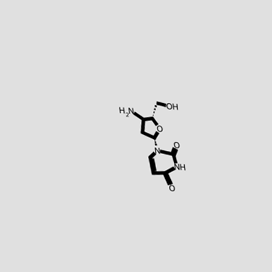 NC1C[C@@H](n2ccc(=O)[nH]c2=O)O[C@H]1CO